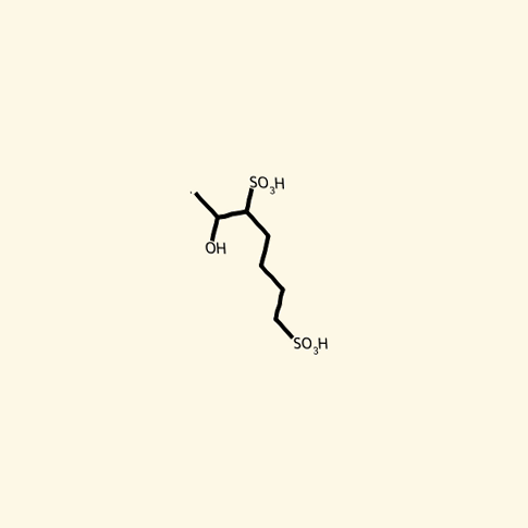 [CH2]C(O)C(CCCCS(=O)(=O)O)S(=O)(=O)O